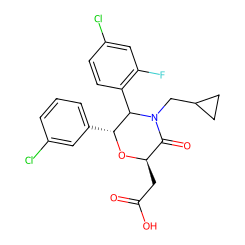 O=C(O)C[C@H]1O[C@H](c2cccc(Cl)c2)C(c2ccc(Cl)cc2F)N(CC2CC2)C1=O